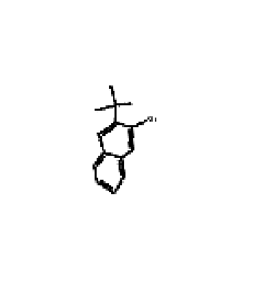 CC(C)(C)c1cc2ccccc2cc1S